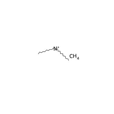 C.CCCCCCCCCC[N+](C)(C)CCCCCCCCCC